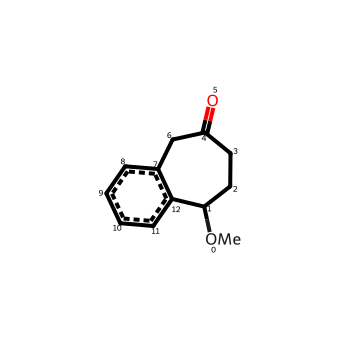 COC1CCC(=O)Cc2ccccc21